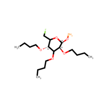 CCCCOC1[C@H](OCCCC)C(CF)O[C@@H](OP)[C@H]1OCCCC